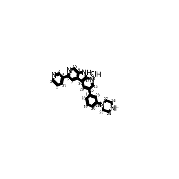 Cl.c1cncc(-c2cc3c(cn2)[nH]c2ncc(-c4cccc(N5CCNCC5)c4)cc23)c1